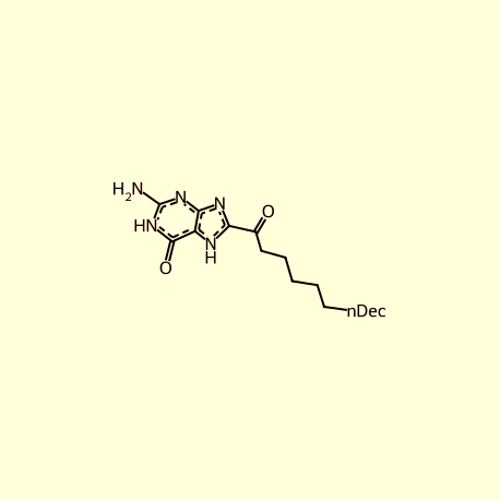 CCCCCCCCCCCCCCCC(=O)c1nc2nc(N)[nH]c(=O)c2[nH]1